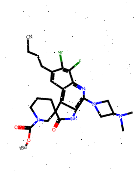 CN(C)C1CN(c2nc3c(F)c(Br)c(CCCC#N)cc3c3c2NC(=O)C32CCCN(C(=O)OC(C)(C)C)C2)C1